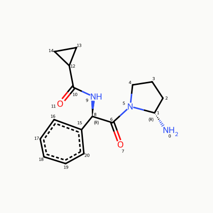 N[C@H]1CCCN1C(=O)[C@H](NC(=O)C1CC1)c1ccccc1